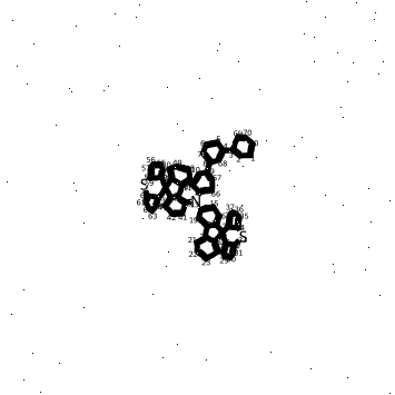 c1ccc(-c2cccc(-c3ccc(N(c4ccc5c(c4)-c4ccccc4C54c5ccccc5Sc5ccccc54)c4cccc5c4-c4ccccc4C54c5ccccc5Sc5ccccc54)cc3)c2)cc1